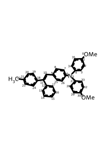 COc1ccc(N(c2ccc(/C=C(\c3ccccc3)c3ccc(C)cc3)cc2)c2ccc(OC)cc2)cc1